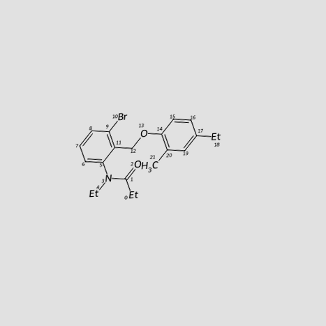 CCC(=O)N(CC)c1cccc(Br)c1COc1ccc(CC)cc1C